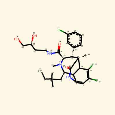 CC(C)CC(C)(C)C[C@@H]1C2C3=CC(F)=C(F)C2[C@@H](C(=O)N3)[C@@H](c2cccc(Cl)c2)[C@H](C(=O)NCC[C@H](O)CO)N1C